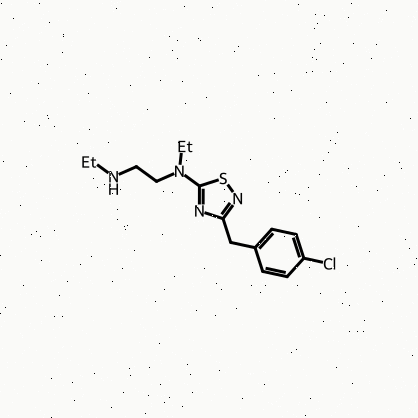 CCNCCN(CC)c1nc(Cc2ccc(Cl)cc2)ns1